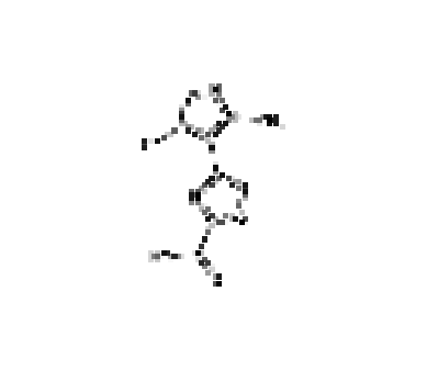 Cn1ncc(Cl)c1-c1csc(C(=O)O)n1